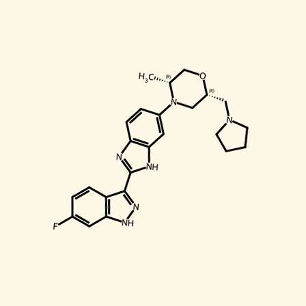 C[C@@H]1CO[C@H](CN2CCCC2)CN1c1ccc2nc(-c3n[nH]c4cc(F)ccc34)[nH]c2c1